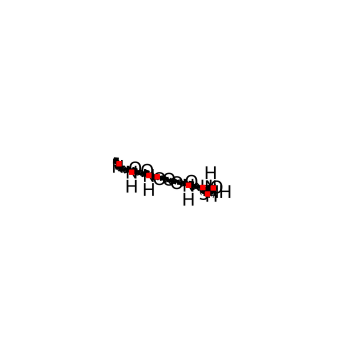 CC(C)CN(C)CCCCNC(=O)CCCC(=O)NCCCOCCOCCOCCCNC(=O)CCCC[C@@H]1SC[C@@H]2NC(=O)N[C@@H]21